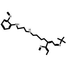 C=NC(=C\C)/C(=C\C=N/C(C)(C)C)CCCCNCCCNc1ccccc1N=C